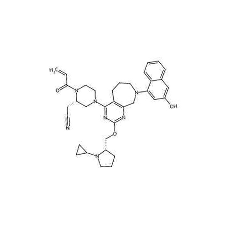 C=CC(=O)N1CCN(c2nc(OC[C@@H]3CCCN3C3CC3)nc3c2CCCN(c2cc(O)cc4ccccc24)C3)C[C@@H]1CC#N